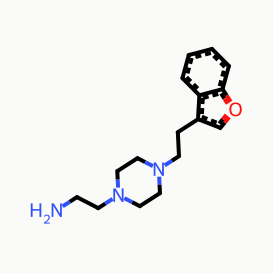 NCCN1CCN(CCc2coc3ccccc23)CC1